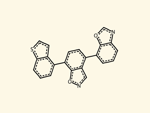 c1cc(-c2ccc(-c3cccc4sccc34)c3oncc23)c2ocnc2c1